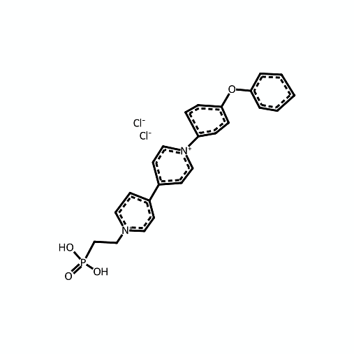 O=P(O)(O)CC[n+]1ccc(-c2cc[n+](-c3ccc(Oc4ccccc4)cc3)cc2)cc1.[Cl-].[Cl-]